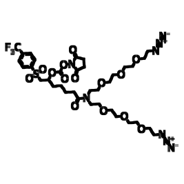 [N-]=[N+]=NCCOCCOCCOCCN(CCOCCOCCOCCN=[N+]=[N-])C(=O)CCCCC(CS(=O)(=O)c1ccc(C(F)(F)F)cc1)OC(=O)ON1C(=O)CCC1=O